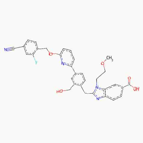 COCCn1c(Cc2ccc(-c3cccc(OCc4ccc(C#N)cc4F)n3)cc2CO)nc2ccc(C(=O)O)cc21